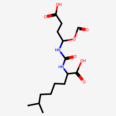 CC(C)CCCCC(NC(=O)NC(CCC(=O)O)OC=O)C(=O)O